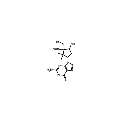 CC1(C)[C@@H](n2cnc3c(=O)[nH]c(N)nc32)C[C@H](O)[C@@]1(C#N)CO